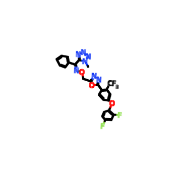 Cn1nnnc1/C(=N\OCc1nnc(-c2ccc(Oc3ccc(F)cc3F)cc2C(F)(F)F)o1)c1ccccc1